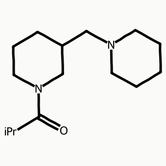 CC(C)C(=O)N1CCCC(CN2CCCCC2)C1